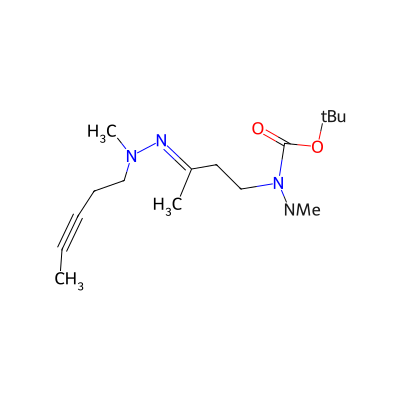 CC#CCCN(C)/N=C(\C)CCN(NC)C(=O)OC(C)(C)C